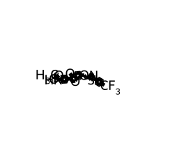 CS(=O)(=O)Nc1ccc(-c2coc3cc(OCc4cnc(-c5ccc(C(F)(F)F)cc5)s4)ccc3c2=O)cc1